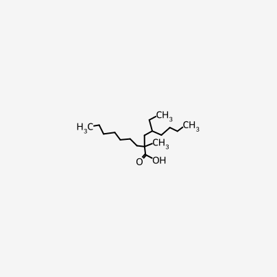 CCCCCCCC(C)(CC(CC)CCCC)C(=O)O